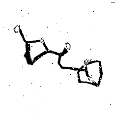 O=C(CC1CC2CC[N+]1CC2)c1ccc(Cl)s1